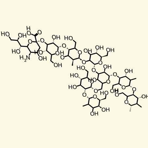 CC1C(O)[C@H](O)[C@H](CO)O[C@H]1O[C@@H]1C(O)[C@H](O)C(CO)O[C@@H]1OCC1O[C@@H](O[C@@H]2C(CO)O[C@@H](O[C@@H]3C(CO)O[C@@H](C)C(C)[C@H]3O)C(C)[C@H]2O)[C@H](O)C(O[C@H]2O[C@H](CO)[C@@H](O)C(O)C2O[C@@H]2OC(CO)[C@@H](O[C@@H]3OC(CO)[C@H](O)C(O[C@]4(C(=O)O)C[C@@H](O)[C@@H](N)C([C@H](O)[C@H](O)CO)O4)[C@@H]3O)C(O)[C@@H]2C)[C@@H]1O